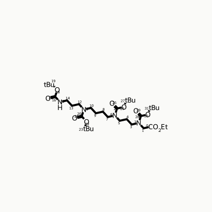 CCOC(=O)CN(CCCN(CCCCN(CCCNC(=O)OC(C)(C)C)C(=O)OC(C)(C)C)C(=O)OC(C)(C)C)C(=O)OC(C)(C)C